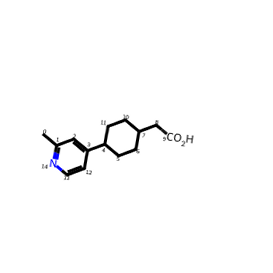 Cc1cc(C2CCC(CC(=O)O)CC2)ccn1